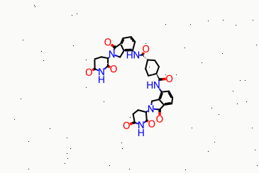 O=C1CCC(N2Cc3c(NC(=O)[C@H]4CC[C@H](C(=O)Nc5cccc6c5CN(C5CCC(=O)NC5=O)C6=O)CC4)cccc3C2=O)C(=O)N1